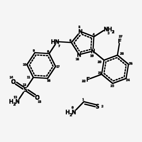 NC=S.Nc1nc(Nc2ccc(S(N)(=O)=O)cc2)nn1-c1c(F)cccc1F